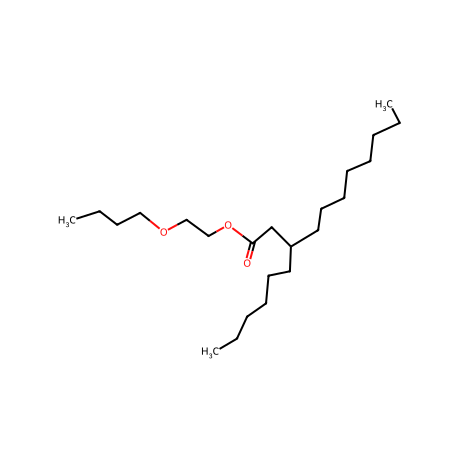 CCCCCCCCC(CCCCCC)CC(=O)OCCOCCCC